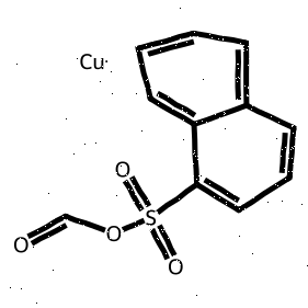 O=COS(=O)(=O)c1cccc2ccccc12.[Cu]